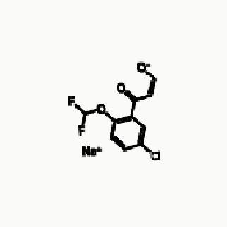 O=C(/C=C\[O-])c1cc(Cl)ccc1OC(F)F.[Na+]